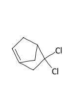 ClC1(Cl)CC2=CCC1C2